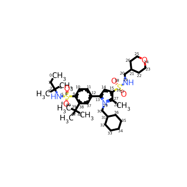 CCC(C)(C)NS(=O)(=O)c1ccc(-c2cc(S(=O)(=O)NCC3CCOCC3)c(C)n2CC2CCCCC2)cc1C(C)(C)C